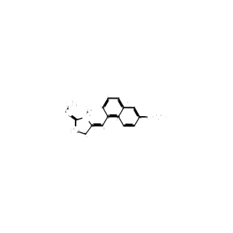 COc1ccc2c(C=C3CNC(=NC#N)[S+]3[O-])cccc2c1